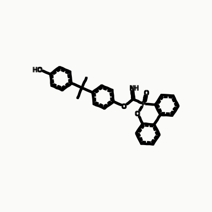 CC(C)(c1ccc(O)cc1)c1ccc(OC(=N)P2(=O)Oc3ccccc3-c3ccccc32)cc1